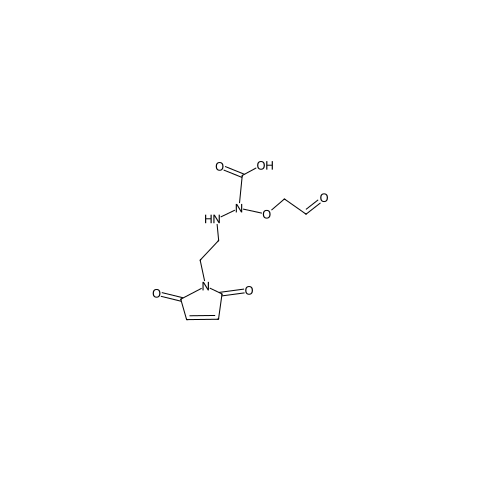 O=CCON(NCCN1C(=O)C=CC1=O)C(=O)O